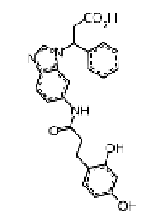 O=C(O)CC(c1ccccc1)n1cnc2ccc(NC(=O)CCc3ccc(O)cc3O)cc21